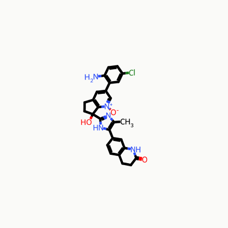 Cc1nc(C2(O)CCc3cc(-c4cc(Cl)ccc4N)c[n+]([O-])c32)[nH]c1-c1ccc2c(c1)NC(=O)CC2